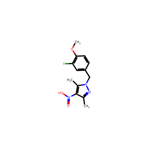 COc1ccc(Cn2nc(C)c([N+](=O)O)c2C)cc1F